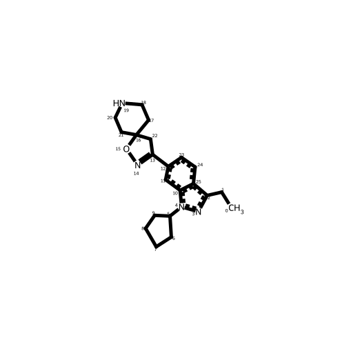 CCc1nn(C2CCCC2)c2cc(C3=NOC4(CCNCC4)C3)ccc12